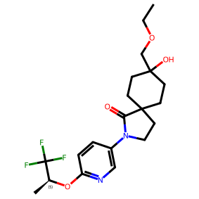 CCOCC1(O)CCC2(CCN(c3ccc(O[C@@H](C)C(F)(F)F)nc3)C2=O)CC1